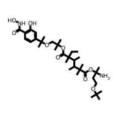 CCC(C)(C(=O)OC(C)(C)COC(C)(C)c1ccc(C(=O)NO)c(O)c1)C(C)C(C)C(C)(C)C(=O)OC(C)(N)CCOC(C)(C)C